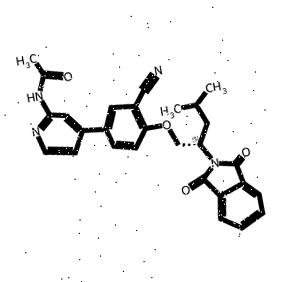 CC(=O)Nc1cc(-c2ccc(OC[C@H](CC(C)C)N3C(=O)c4ccccc4C3=O)c(C#N)c2)ccn1